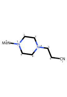 CNN1CCN(CCC#N)CC1